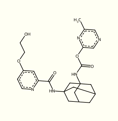 Cc1cncc(OC(=O)NC23CC4CC(C2)CC(NC(=O)c2cc(OCCO)ccn2)(C4)C3)n1